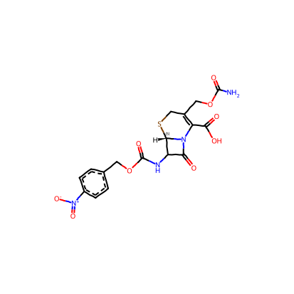 NC(=O)OCC1=C(C(=O)O)N2C(=O)C(NC(=O)OCc3ccc([N+](=O)[O-])cc3)[C@@H]2SC1